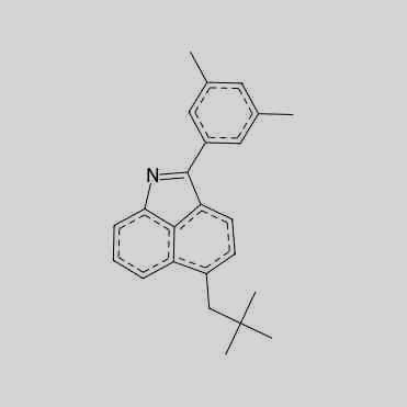 Cc1cc(C)cc(C2=Nc3cccc4c(CC(C)(C)C)ccc2c34)c1